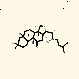 CC(C)CC[C@H](O)[C@@H](C)[C@H]1CC[C@H]2[C@@H]3CC[C@H]4C[C@@](C)(O)CC[C@]4(C)[C@H]3C(=O)C[C@]12C